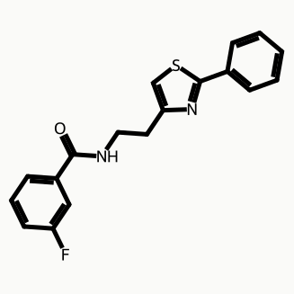 O=C(NCCc1csc(-c2ccccc2)n1)c1cccc(F)c1